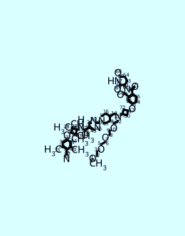 COCCOCCOCCOCCN(CC1CCN(c2ncc(C(=O)NC3C(C)(C)C(Oc4cc(C)c(C#N)c(C)c4)C3(C)C)cn2)CC1)C1CC(Oc2ccc3c(c2)C(=O)N([C@@H]2CCC(=O)NC2=O)C3=O)C1